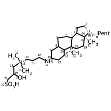 CCC[C@@H](C)[C@H]1CCC2C3CCC4CC(NCCC[N+](C)(C)CC(O)CS(=O)(=O)O)CC[C@]4(C)C3CC[C@@]21C